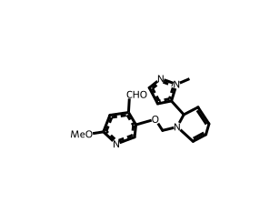 COc1cc(C=O)c(OCN2C=CC=CC2c2ccnn2C)cn1